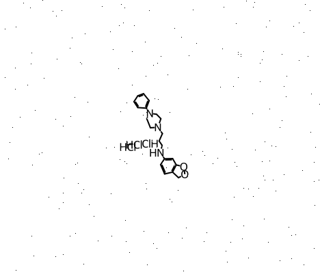 Cl.Cl.Cl.c1ccc(N2CCN(CCCNc3ccc4c(c3)OOC4)CC2)cc1